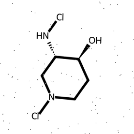 O[C@H]1CCN(Cl)C[C@@H]1NCl